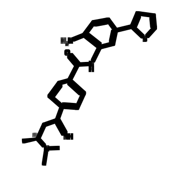 C[C@@H](CC(=N)c1ccc(C(=O)Nc2cc(-c3cccs3)ccc2N)cc1)N(C)C